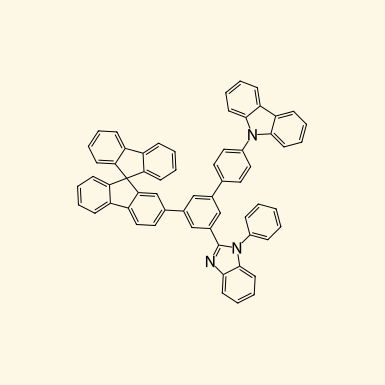 c1ccc(-n2c(-c3cc(-c4ccc(-n5c6ccccc6c6ccccc65)cc4)cc(-c4ccc5c(c4)C4(c6ccccc6-c6ccccc64)c4ccccc4-5)c3)nc3ccccc32)cc1